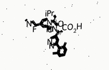 Cc1cccc(C)c1-c1cc([C@H](CC(=O)O)NC(=O)[C@H](CC(C)C)n2ccc(C(F)CN(C)C)cc2=O)cnn1